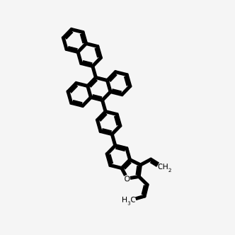 C=Cc1c(/C=C\C)oc2ccc(-c3ccc(-c4c5ccccc5c(-c5ccc6ccccc6c5)c5ccccc45)cc3)cc12